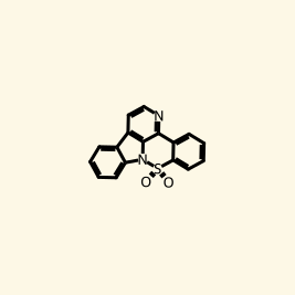 O=S1(=O)c2ccccc2-c2nccc3c4ccccc4n1c23